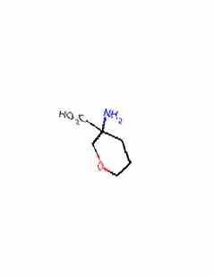 NC1(C(=O)O)CCCOC1